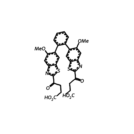 COc1cc2nc(C(=O)CCC(=O)O)sc2cc1-c1ccccc1-c1cc2sc(C(=O)CCC(=O)O)nc2cc1OC